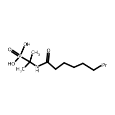 CC(C)CCCCCC(=O)NC(C)(C)P(=O)(O)O